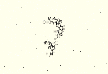 CNC(=O)C(CCC=O)N1Cc2c(NC(=O)CCCCCCN(CCCN)C(=O)OC(C)(C)C)cccc2C1=O